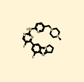 CN1CCN(Cc2ccc(Nc3ncc(F)c(-c4cc(F)c5nc6n(c5c4)CCC6)n3)nc2)CC1